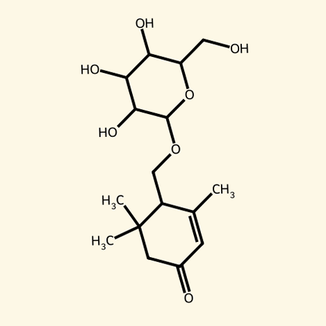 CC1=CC(=O)CC(C)(C)C1COC1OC(CO)C(O)C(O)C1O